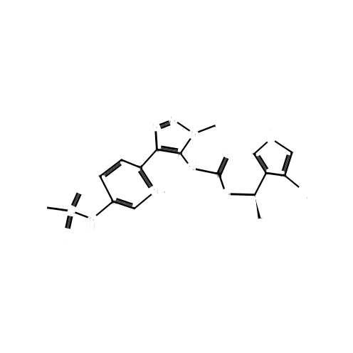 C[C@@H](OC(=O)Nc1c(-c2ccc(NS(C)(=O)=O)cn2)nnn1C)c1cscc1Cl